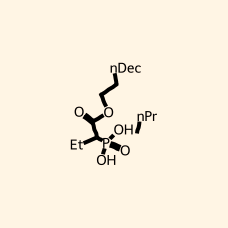 CCCC.CCCCCCCCCCCCOC(=O)C(CC)P(=O)(O)O